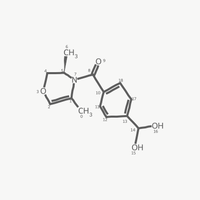 CC1=COC[C@@H](C)N1C(=O)c1ccc(C(O)O)cc1